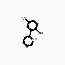 Nc1ccc(N)c(-c2ccccn2)c1